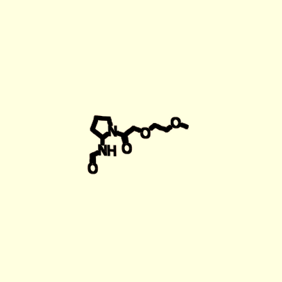 COCCOCC(=O)N1CCCC1NC=O